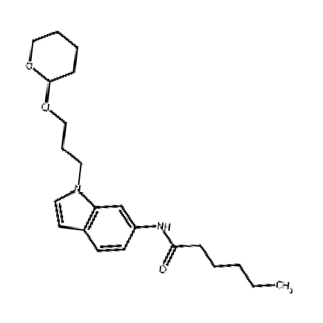 CCCCCC(=O)Nc1ccc2ccn(CCCOC3CCCCO3)c2c1